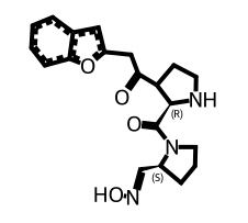 O=C(Cc1cc2ccccc2o1)C1CCN[C@H]1C(=O)N1CCC[C@H]1C=NO